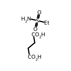 CCS(N)(=O)=O.O=C(O)CCC(=O)O